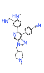 CNc1ccc(-c2ncc3c(ncn3CC3CCN(C)CC3)c2-c2ccc(C#N)cc2)cc1C=N